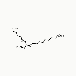 CCCCCCCCCCCCCCCCCCOC(CN)COCCCCCCCCCCCCCC